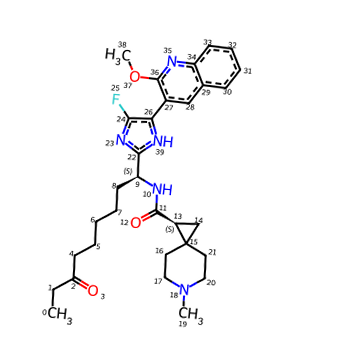 CCC(=O)CCCCC[C@H](NC(=O)[C@H]1CC12CCN(C)CC2)c1nc(F)c(-c2cc3ccccc3nc2OC)[nH]1